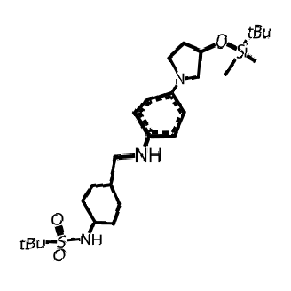 CC(C)(C)[Si](C)(C)OC1CCN(c2ccc(NCC3CCC(NS(=O)(=O)C(C)(C)C)CC3)cc2)C1